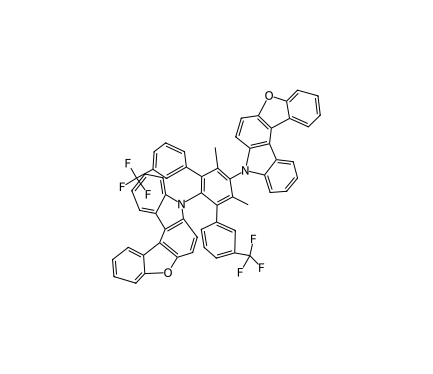 Cc1c(-c2cccc(C(F)(F)F)c2)c(-n2c3ccccc3c3c4c(ccc32)oc2ccccc24)c(-c2cccc(C(F)(F)F)c2)c(C)c1-n1c2ccccc2c2c3c(ccc21)oc1ccccc13